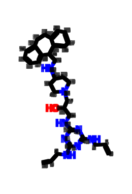 C=CCNc1nc(NCC=C)nc(NCC(O)CN2CCC(NCC3c4ccccc4CCc4ccccc43)CC2)n1